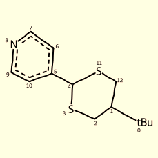 CC(C)(C)C1CSC(c2ccncc2)SC1